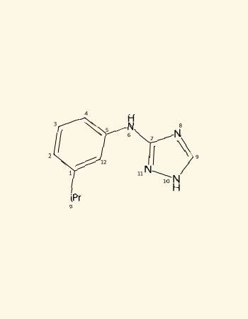 CC(C)c1cccc(Nc2nc[nH]n2)c1